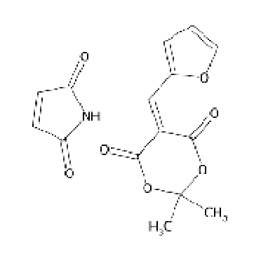 CC1(C)OC(=O)C(=Cc2ccco2)C(=O)O1.O=C1C=CC(=O)N1